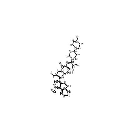 CCc1cnc(Nc2cc(C)c(N3CCC(N4CCN(C)CC4)CC3)cc2OC)nc1Nc1ccc2nccnc2c1N(C)SC